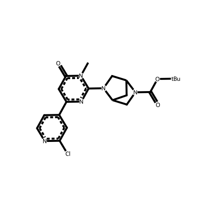 Cn1c(N2CC3CC2CN3C(=O)OC(C)(C)C)nc(-c2ccnc(Cl)c2)cc1=O